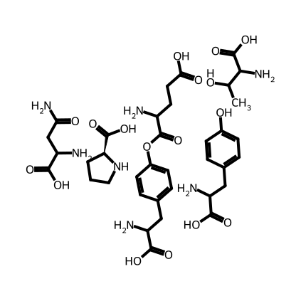 CC(O)C(N)C(=O)O.NC(=O)CC(N)C(=O)O.NC(Cc1ccc(O)cc1)C(=O)O.NC(Cc1ccc(OC(=O)C(N)CCC(=O)O)cc1)C(=O)O.O=C(O)[C@@H]1CCCN1